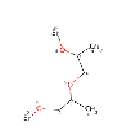 CCOCC(C)OCC(C)OCC